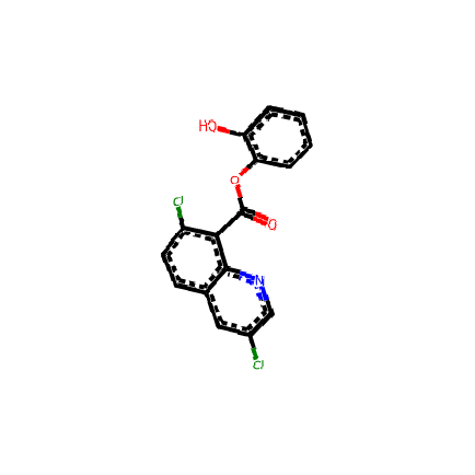 O=C(Oc1ccccc1O)c1c(Cl)ccc2cc(Cl)cnc12